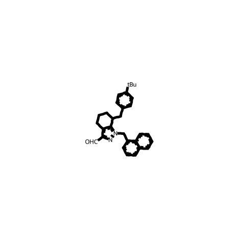 CC(C)(C)c1ccc(CC2CCCc3c(C=O)nn(Cc4cccc5ccccc45)c32)cc1